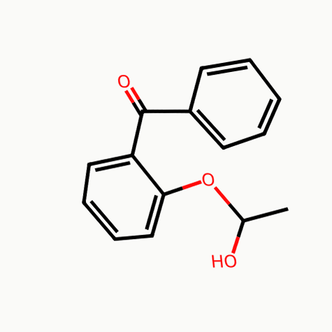 CC(O)Oc1ccccc1C(=O)c1ccccc1